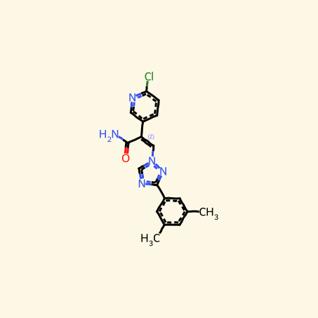 Cc1cc(C)cc(-c2ncn(/C=C(\C(N)=O)c3ccc(Cl)nc3)n2)c1